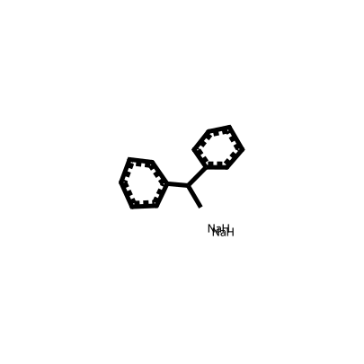 CC(c1ccccc1)c1ccccc1.[NaH].[NaH]